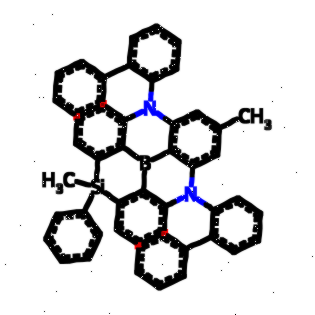 Cc1cc2c3c(c1)N(c1ccccc1-c1ccccc1)c1cccc4c1B3c1c(cccc1[Si]4(C)c1ccccc1)N2c1ccccc1-c1ccccc1